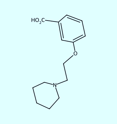 O=C(O)c1cccc(OCCN2CCCCC2)c1